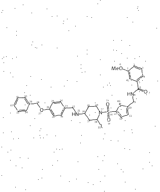 COc1cccc(C(=O)NCc2ccc(S(=O)(=O)N3CCC(NCc4ccc(OCc5ccccc5)cc4)CC3I)s2)c1